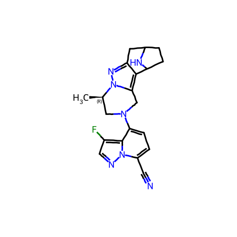 C[C@@H]1CN(c2ccc(C#N)n3ncc(F)c23)Cc2c3c(nn21)CC1CCC3N1